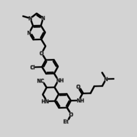 CCOc1cc2c(cc1NC(=O)CCCN(C)C)C(Nc1ccc(OCc3cnc4c(c3)ncn4C)c(Cl)c1)C(C#N)CN2